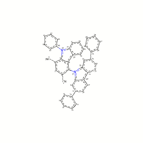 N#Cc1cc(C#N)c2c(c1-n1c3cc(-c4ccccc4)ccc3c3ccc(-c4ccccc4)cc31)c1ccccc1n2-c1ccccc1